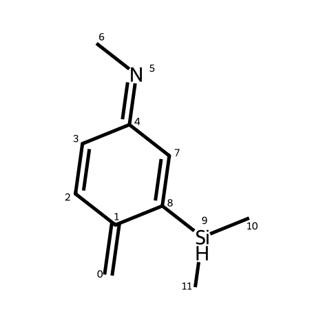 C=C1C=C/C(=N\C)C=C1[SiH](C)C